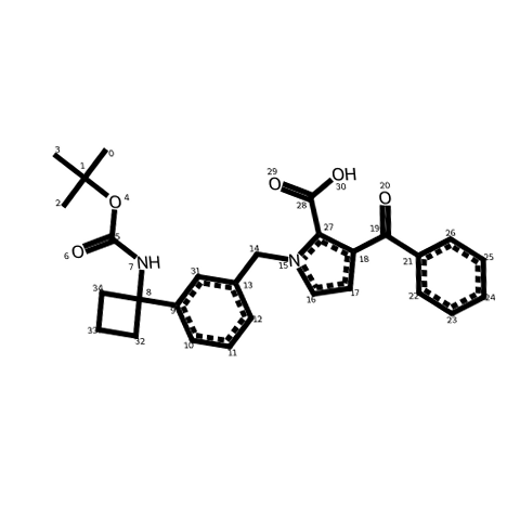 CC(C)(C)OC(=O)NC1(c2cccc(Cn3ccc(C(=O)c4ccccc4)c3C(=O)O)c2)CCC1